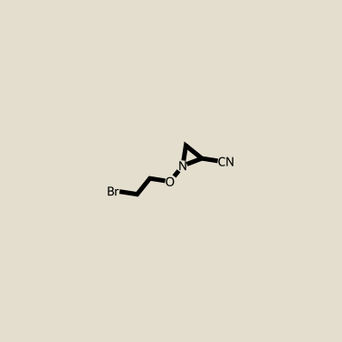 N#CC1CN1OCCBr